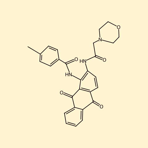 Cc1ccc(C(=O)Nc2c(NC(=O)CN3CCOCC3)ccc3c2C(=O)c2ccccc2C3=O)cc1